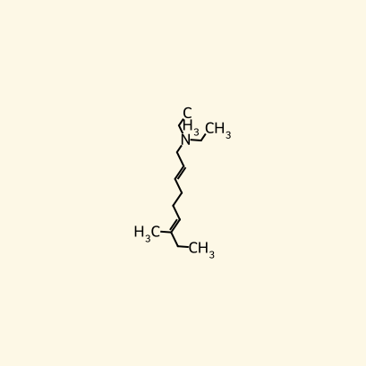 CCC(C)=CCCC=CCN(CC)CC